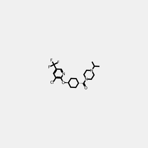 CC(C)N1CCN(C(=O)[C@H]2CC[C@H](Oc3ncc(C(F)(F)F)cc3Cl)CC2)CC1